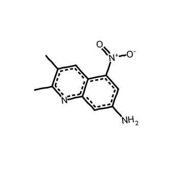 Cc1cc2c([N+](=O)[O-])cc(N)cc2nc1C